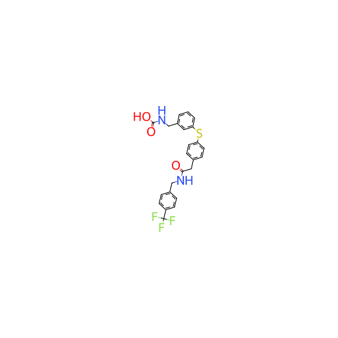 O=C(O)NCc1cccc(Sc2ccc(CC(=O)NCc3ccc(C(F)(F)F)cc3)cc2)c1